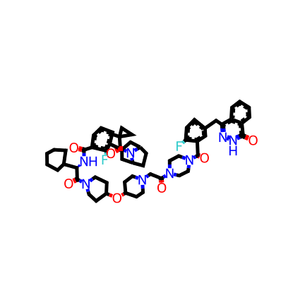 CC1(C(=O)N2C3CCC2CC(c2cccc(C(=O)N[C@@H](C(=O)N4CCC(OC5CCN(CC(=O)N6CCN(C(=O)c7cc(Cc8n[nH]c(=O)c9ccccc89)ccc7F)CC6)CC5)CC4)C4CCCCC4)c2F)C3)CC1